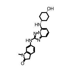 CN1C(=O)Cc2ccc(Nc3nc4cccc(N[C@H]5CC[C@@H](O)CC5)n4n3)cc21